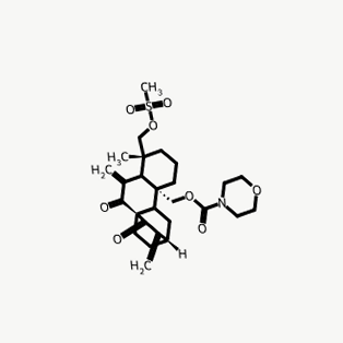 C=C1C(=O)[C@@]23CC[C@@H](CC2[C@]2(COC(=O)N4CCOCC4)CCC[C@@](C)(COS(C)(=O)=O)C12)C(=C)C3=O